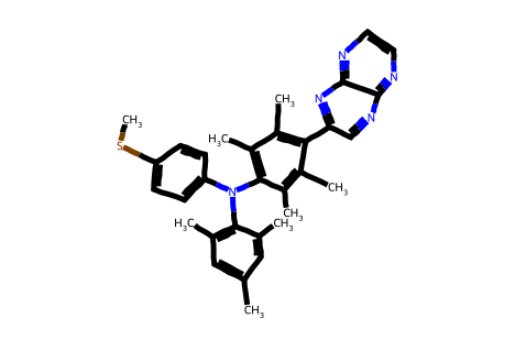 CSc1ccc(N(c2c(C)cc(C)cc2C)c2c(C)c(C)c(-c3cnc4nccnc4n3)c(C)c2C)cc1